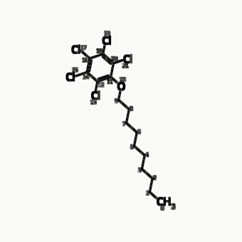 CCCCCCCCCCOc1c(Cl)c(Cl)c(Cl)c(Cl)c1Cl